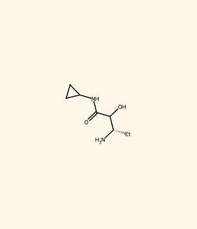 CC[C@H](N)C(O)C(=O)NC1CC1